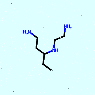 [CH2]CC(CCN)NCCN